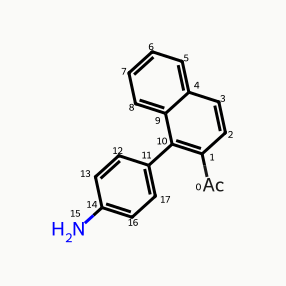 CC(=O)c1ccc2ccccc2c1-c1ccc(N)cc1